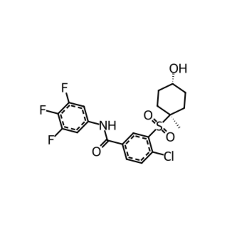 C[C@]1(S(=O)(=O)c2cc(C(=O)Nc3cc(F)c(F)c(F)c3)ccc2Cl)CC[C@H](O)CC1